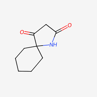 O=C1CC(=O)C2(CCCCC2)N1